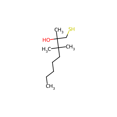 CCCCCC(C)(C)C(C)(O)CS